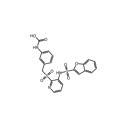 O=C(O)Nc1cccc(CS(=O)(=O)c2ncccc2NS(=O)(=O)c2cc3ccccc3o2)c1